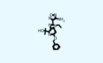 CCn1c(-c2nonc2N)nc2c(C(C)(C)O)nc(OCc3ccccc3)cc21